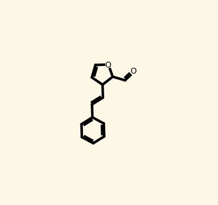 O=CC1OC=CC1C=Cc1ccccc1